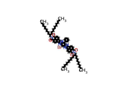 CCCCCCCCCCCCC(CCCCCCCCCC)CN1C(=O)c2ccc3c4c(ccc(c24)C1=O)-c1nc2c(-c4ccccc4)c4nc5c(nc4c(Br)c2nc1-3)-c1ccc2c3c(ccc-5c13)C(=O)N(CC(CCCCCCCCCC)CCCCCCCCCCCC)C2=O